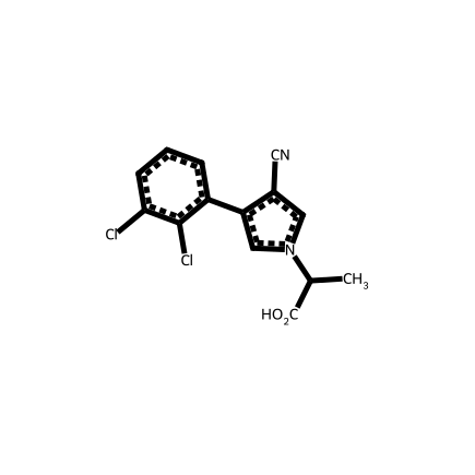 CC(C(=O)O)n1cc(C#N)c(-c2cccc(Cl)c2Cl)c1